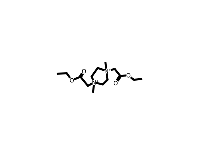 CCOC(=O)C[N+]1(C)CC[N+](C)(CC(=O)OCC)CC1